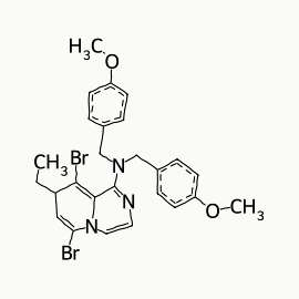 CCC1C=C(Br)N2C=CN=C(N(Cc3ccc(OC)cc3)Cc3ccc(OC)cc3)C2=C1Br